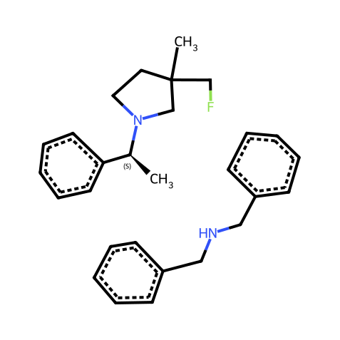 C[C@@H](c1ccccc1)N1CCC(C)(CF)C1.c1ccc(CNCc2ccccc2)cc1